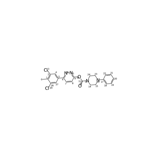 Cc1c(Cl)cc(-c2ccc(OC(=O)N3CCN(c4ccccc4)CC3)nn2)cc1Cl